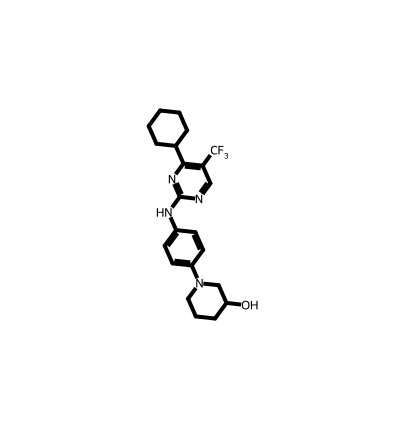 OC1CCCN(c2ccc(Nc3ncc(C(F)(F)F)c(C4CCCCC4)n3)cc2)C1